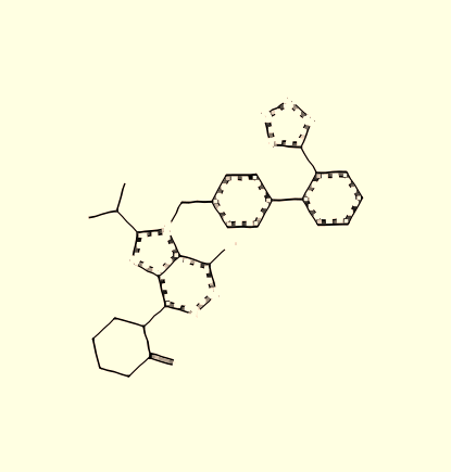 CC(C)c1nc2c(C3CCCCC3=O)nnc(O)c2n1Cc1ccc(-c2ccccc2-c2nnn[nH]2)cc1